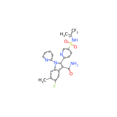 Cc1cc2c(cc1F)c(C(N)=O)c(-c1ccc(S(=O)(=O)N[C@@H](C)C(F)(F)F)cn1)n2-c1ccccn1